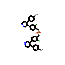 N#Cc1ccc(-c2ccncc2-c2ccc(CS(=O)(=O)Cc3ccc(-c4cnccc4-c4ccc(C#N)cc4)cc3F)c(F)c2)cc1